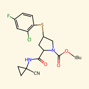 CC(C)(C)OC(=O)N1CC(Sc2ccc(F)cc2Cl)CC1C(=O)NC1(C#N)CC1